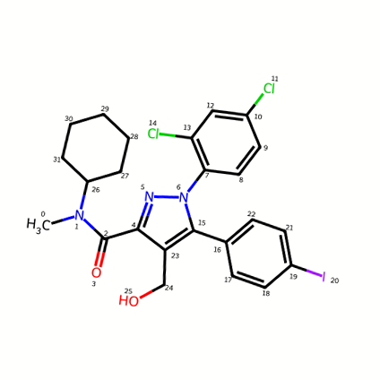 CN(C(=O)c1nn(-c2ccc(Cl)cc2Cl)c(-c2ccc(I)cc2)c1CO)C1CCCCC1